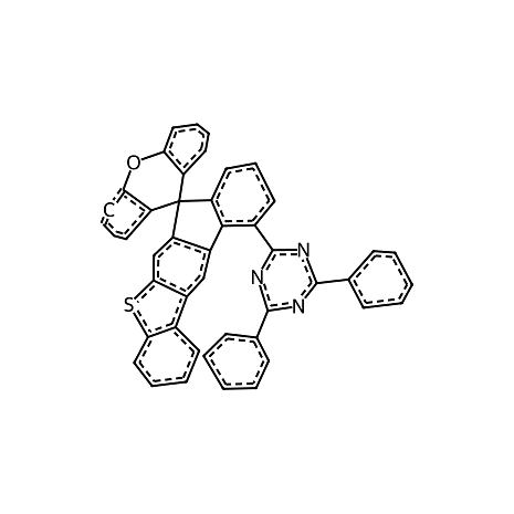 c1ccc(-c2nc(-c3ccccc3)nc(-c3cccc4c3-c3cc5c(cc3C43c4ccccc4Oc4ccccc43)sc3ccccc35)n2)cc1